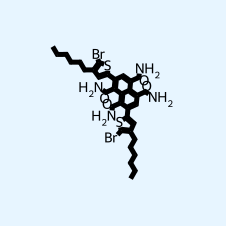 CCCCCCc1cc(-c2cc(C(N)=O)c3c(C(N)=O)cc(-c4cc(CCCCCC)c(Br)s4)c(C(N)=O)c3c2C(N)=O)sc1Br